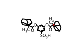 CC1(C(=O)Oc2cc(OC(=O)C3(C)C4CC5CC(C4)CC3C5)cc(S(=O)(=O)O)c2)C2CC3CC(C2)CC1C3